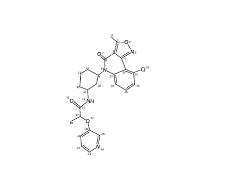 Cc1onc2c1c(=O)n(C1CCCC(NC(=O)C(C)Oc3cccnc3)C1)c1cccc(Cl)c21